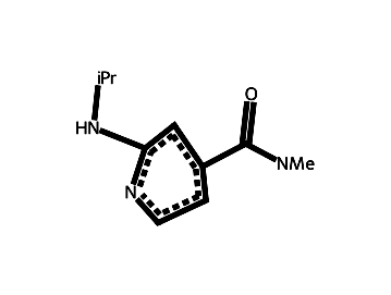 CNC(=O)c1ccnc(NC(C)C)c1